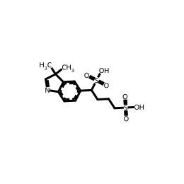 CC1(C)C=Nc2ccc(C(CCCS(=O)(=O)O)S(=O)(=O)O)cc21